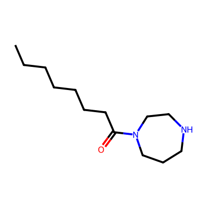 CCCCCCCC(=O)N1CCCNCC1